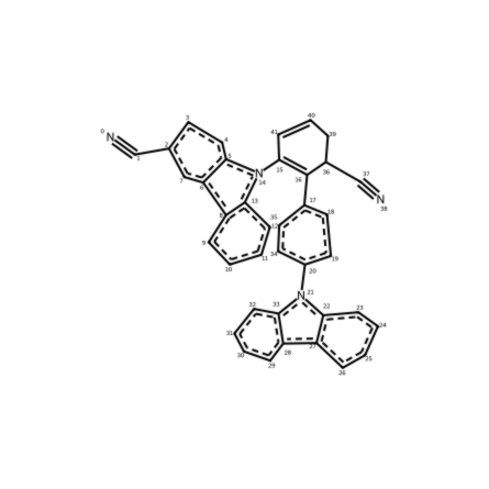 N#Cc1ccc2c(c1)c1ccccc1n2C1=C(c2ccc(-n3c4ccccc4c4ccccc43)cc2)C(C#N)CC=C1